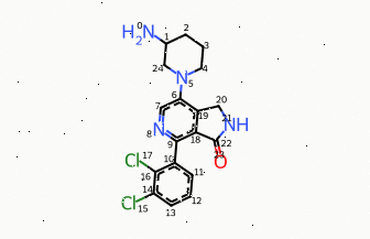 NC1CCCN(c2cnc(-c3cccc(Cl)c3Cl)c3c2CNC3=O)C1